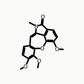 COc1ccc2c(c1OC)Oc1c(OC)ccc3c1C(=C2)N(C)C3=O